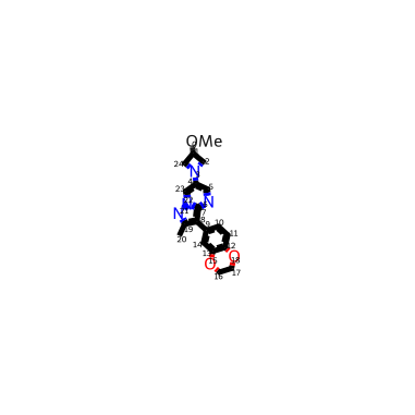 COC1CN(c2cnc3c(-c4ccc5c(c4)OCCO5)c(C)nn3c2)C1